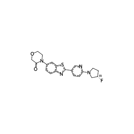 O=C1COCCN1c1ccc2nc(-c3ccc(N4CC[C@H](F)C4)nc3)sc2c1